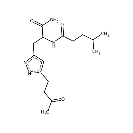 CC(=O)CCn1cc(CC(NC(=O)CCC(C)C)C(N)=O)nn1